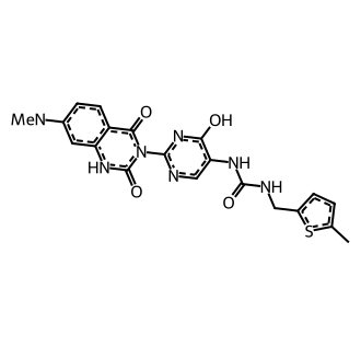 CNc1ccc2c(=O)n(-c3ncc(NC(=O)NCc4ccc(C)s4)c(O)n3)c(=O)[nH]c2c1